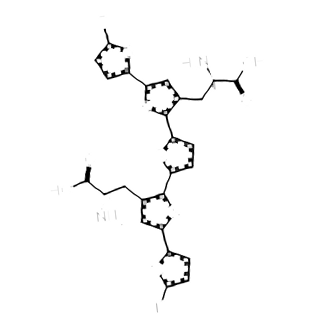 N[C@H](Cc1cc(-c2ccc(F)s2)sc1-c1ccc(-c2sc(-c3ccc(F)s3)cc2C[C@H](N)C(=O)O)s1)C(=O)O